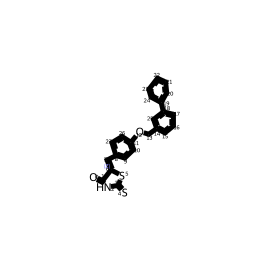 O=C1NC(=S)S/C1=C\c1ccc(OCc2cccc(-c3ccccc3)c2)cc1